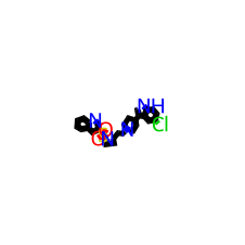 O=S(=O)(c1cnc2ccccc2c1)N1CCC1CCN1CC=C(c2c[nH]c3ccc(Cl)cc23)CC1